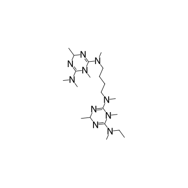 CCN(C)C1=NC(C)N=C(N(C)CCCCN(C)C2=NC(C)N=C(N(C)C)N2C)N1C